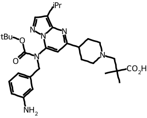 CC(C)c1cnn2c(N(Cc3cccc(N)c3)C(=O)OC(C)(C)C)cc(C3CCN(CC(C)(C)C(=O)O)CC3)nc12